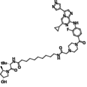 C[C@@H]1C[C@@H](O)CN1C(=O)[C@@H](NC(=O)CCCCCCCCCNC(=O)CN1CCN(C(=O)c2ccc(Nc3nc(C4CC4)cn4c(-c5cn[nH]c5)cnc34)c(F)c2)CC1)C(C)(C)C